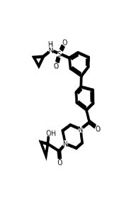 O=C(c1ccc(-c2cccc(S(=O)(=O)NC3CC3)c2)cc1)N1CCN(C(=O)C2(O)CC2)CC1